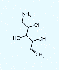 C=CC(O)C(O)C(O)CN